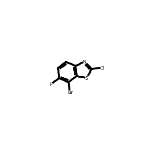 Fc1ccc2nc(Cl)sc2c1Br